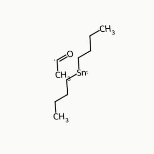 CCC[CH2][Sn][CH2]CCC.C[C]=O